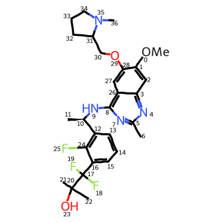 COc1cc2nc(C)nc(N[C@H](C)c3cccc(C(F)(F)C(C)(C)O)c3F)c2cc1OCC1CCCN1C